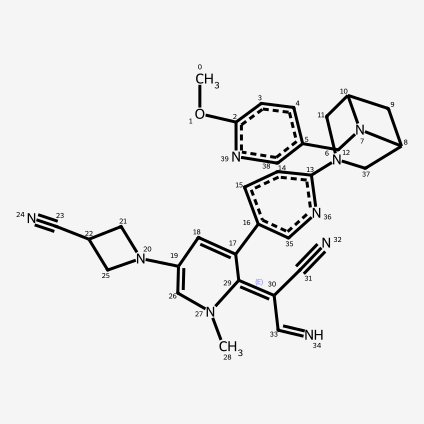 COc1ccc(CN2C3CC2CN(c2ccc(C4=CC(N5CC(C#N)C5)=CN(C)/C4=C(/C#N)C=N)cn2)C3)cn1